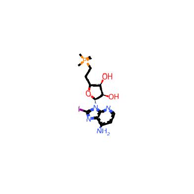 C=P(C)(C)CCC1O[C@@H](n2c(I)nc3c(N)ccnc32)[C@H](O)[C@@H]1O